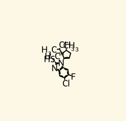 CC(C)[C@]1(C)C(n2c(S)nc3cc(Cl)c(F)cc32)=CCC1C